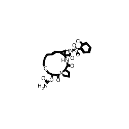 NC(=O)OC1CCCCC/C=C/C2CC2(C(=O)NS(=O)(=O)c2ccccc2Cl)NC(=O)C2CCCN2C1=O